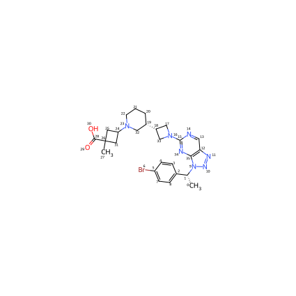 C[C@H](c1ccc(Br)cc1)n1nnc2cnc(N3CC([C@H]4CCCN(C5CC(C)(C(=O)O)C5)C4)C3)nc21